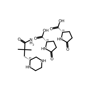 CC(C)(C[C@@H]1CNCCN1)C(N)=O.O=C1CC[C@@H](C(=O)O)N1.O=C1CC[C@@H](C(=O)O)N1